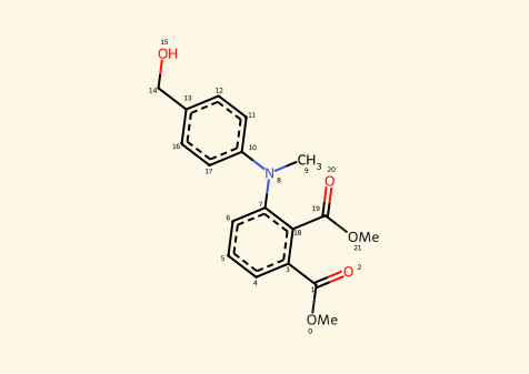 COC(=O)c1cccc(N(C)c2ccc(CO)cc2)c1C(=O)OC